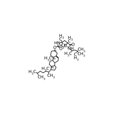 CC(C)CCCC(C)C1CCC2C3CC=C4C[C@@H](OC(=O)NC(C)(C)CC(C)(C)C(=O)NC(C)CC(C)(C)C)CC[C@]4(C)C3CC[C@]12C